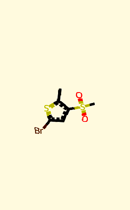 Cc1sc(Br)cc1S(C)(=O)=O